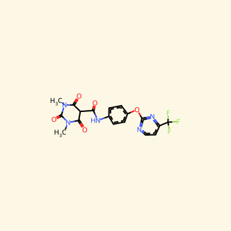 CN1C(=O)C(C(=O)Nc2ccc(Oc3nccc(C(F)(F)F)n3)cc2)C(=O)N(C)C1=O